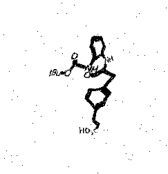 CC(C)(C)OC(=O)Nc1ccccc1NC(=O)Cc1ccc(/C=C/C(=O)O)cc1